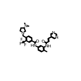 Cc1ccc(NC(=O)c2ccc(CN3CC[C@H](N(C)C)C3)c(C(F)(F)F)c2)cc1NC(=O)C=Cc1cncnc1